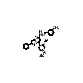 Cc1cccc(C=NNc2cc(N3CCN(OC(C)(C)C)CC3=C=O)n3nc(-c4ccccc4)cc3n2)c1